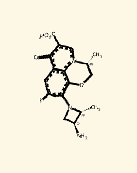 C[C@@H]1[C@@H](N)CN1c1c(F)cc2c(=O)c(C(=O)O)cn3c2c1OC[C@H]3C